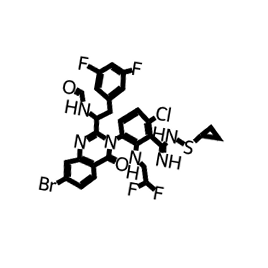 N=C(NSC1CC1)c1c(Cl)ccc(-n2c(C(Cc3cc(F)cc(F)c3)NC=O)nc3cc(Br)ccc3c2=O)c1NCC(F)F